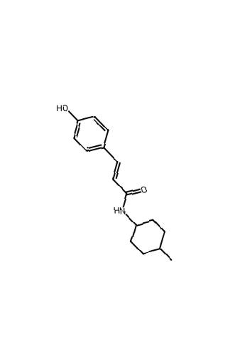 CC1CCC(NC(=O)/C=C/c2ccc(O)cc2)CC1